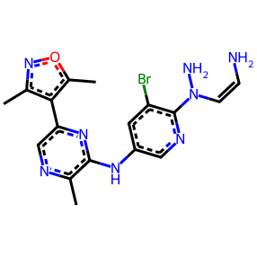 Cc1ncc(-c2c(C)noc2C)nc1Nc1cnc(N(N)/C=C\N)c(Br)c1